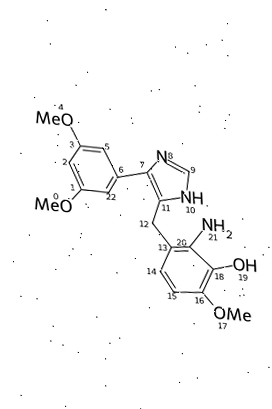 COc1cc(OC)cc(-c2nc[nH]c2Cc2ccc(OC)c(O)c2N)c1